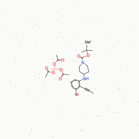 CC#Cc1c(Br)cccc1NC1CCN(C(=O)OC(C)(C)C)CC1.CC(=O)O[BH-](OC(C)=O)OC(C)=O.[Na+]